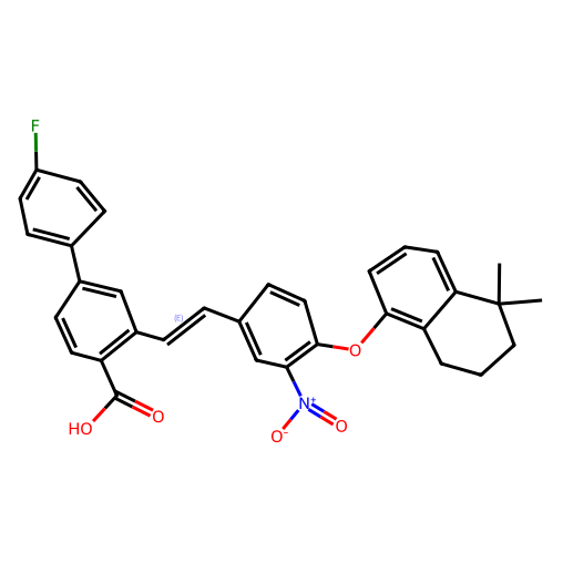 CC1(C)CCCc2c(Oc3ccc(/C=C/c4cc(-c5ccc(F)cc5)ccc4C(=O)O)cc3[N+](=O)[O-])cccc21